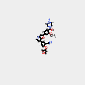 COc1cc(-c2cc3nccc(-c4ccc(OC5CCOC5)c(C#N)c4)c3o2)ccc1C(=O)N1CCNCC1